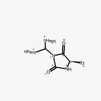 CCCCCCCC(CCCCC)N1C(=O)N[C@H](CC)C1=O